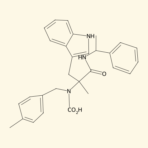 Cc1ccc(CN(C(=O)O)C(C)(Cc2c[nH]c3ccccc23)C(=O)NC(C)c2ccccc2)cc1